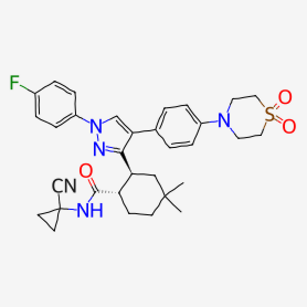 CC1(C)CC[C@H](C(=O)NC2(C#N)CC2)[C@@H](c2nn(-c3ccc(F)cc3)cc2-c2ccc(N3CCS(=O)(=O)CC3)cc2)C1